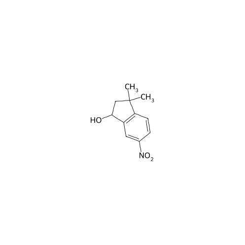 CC1(C)CC(O)c2cc([N+](=O)[O-])ccc21